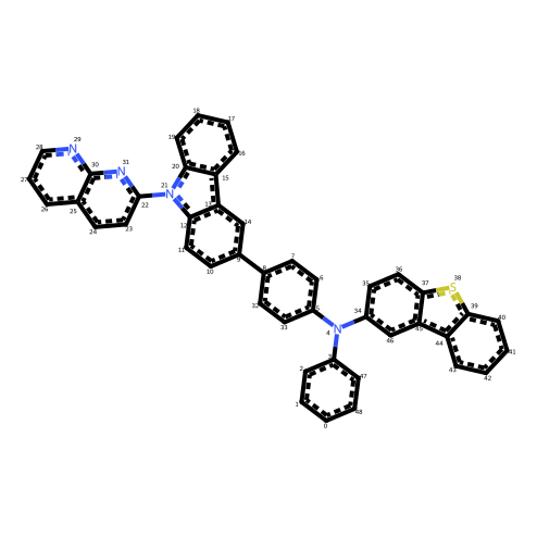 c1ccc(N(c2ccc(-c3ccc4c(c3)c3ccccc3n4-c3ccc4cccnc4n3)cc2)c2ccc3sc4ccccc4c3c2)cc1